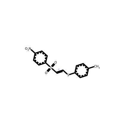 Cc1ccc(S/C=C/S(=O)(=O)c2ccc([N+](=O)[O-])cc2)cc1